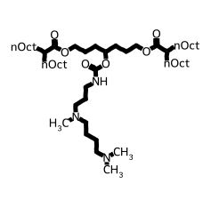 CCCCCCCCC(CCCCCCCC)C(=O)OCCCC(CCCOC(=O)C(CCCCCCCC)CCCCCCCC)OC(=O)NCCCN(C)CCCCN(C)C